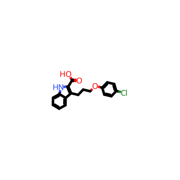 O=C(O)c1[nH]c2ccccc2c1CCCOc1ccc(Cl)cc1